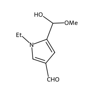 CCn1cc(C=O)cc1C(O)OC